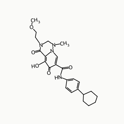 COCCN1CN(C)n2cc(C(=O)Nc3ccc(C4CCCCC4)cc3)c(=O)c(O)c2C1=O